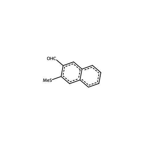 CSc1cc2ccccc2cc1C=O